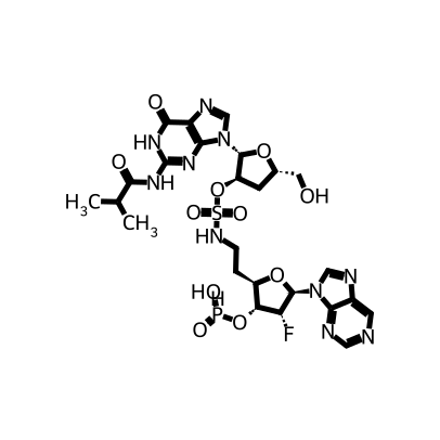 CC(C)C(=O)Nc1nc2c(ncn2[C@@H]2O[C@H](CO)C[C@H]2OS(=O)(=O)NCC[C@H]2O[C@@H](n3cnc4cncnc43)[C@H](F)[C@@H]2O[PH](=O)O)c(=O)[nH]1